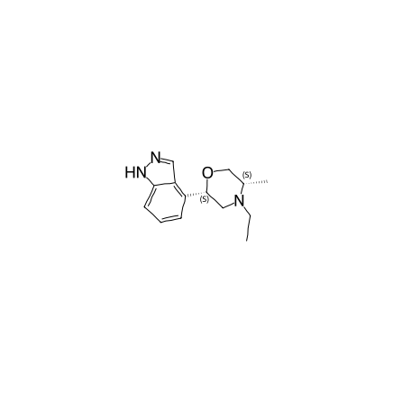 CCN1C[C@H](c2cccc3[nH]ncc23)OC[C@@H]1C